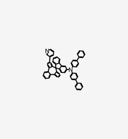 c1ccc(-c2ccc(N(c3ccc(-c4ccccc4)cc3)c3ccc4c(c3)-c3ccccc3C43c4ccccc4-c4ccccc4-c4ccc(-c5cccnc5)cc43)cc2)cc1